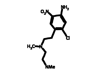 CNCCN(C)CCc1cc([N+](=O)[O-])c(N)cc1Cl